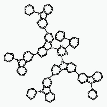 c1ccc(-c2ccccc2-c2nc(-n3c4ccc(-c5ccc6c(c5)c5ccccc5n6-c5ccccc5)cc4c4cc(-c5ccc6c(c5)c5ccccc5n6-c5ccccc5)ccc43)nc(-n3c4ccc(-c5ccc6c(c5)c5ccccc5n6-c5ccccc5)cc4c4cc(-c5ccc6c(c5)c5ccccc5n6-c5ccccc5)ccc43)n2)cc1